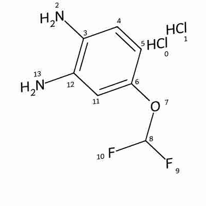 Cl.Cl.Nc1ccc(OC(F)F)cc1N